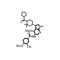 COc1ccc(C(=O)Nc2cnc3c(c(C4CCN(C(=O)C5CCCC5)C(C)(C)C4)cn3C)c2OC)cc1C#N